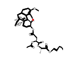 CCCCOC(=O)[C@H](C)OC(=O)[C@H](CC(=O)OC1=CC[C@@]2(O)[C@H]3Cc4ccc(OC)c5c4[C@@]2(CCN3C)[C@H]1O5)OC(C)=O